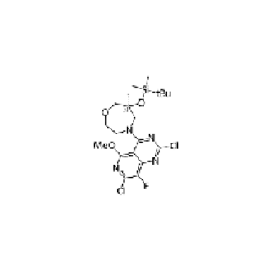 COc1nc(Cl)c(F)c2nc(Cl)nc(N3CCOC[C@@](C)(O[Si](C)(C)C(C)(C)C)C3)c12